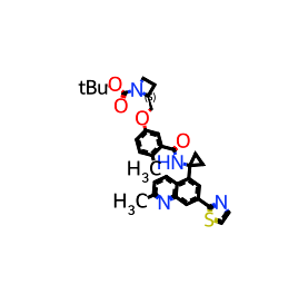 Cc1ccc2c(C3(NC(=O)c4cc(OC[C@@H]5CCN5C(=O)OC(C)(C)C)ccc4C)CC3)cc(-c3nccs3)cc2n1